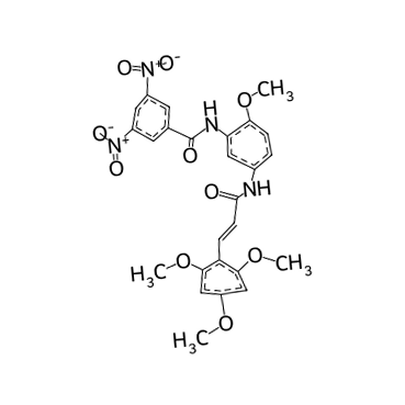 COc1cc(OC)c(/C=C/C(=O)Nc2ccc(OC)c(NC(=O)c3cc([N+](=O)[O-])cc([N+](=O)[O-])c3)c2)c(OC)c1